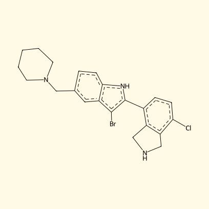 Clc1ccc(-c2[nH]c3ccc(CN4CCCCC4)cc3c2Br)c2c1CNC2